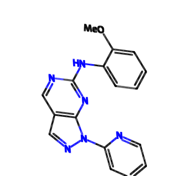 COc1ccccc1Nc1ncc2cnn(-c3ccccn3)c2n1